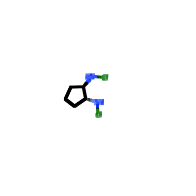 ClN[C@@H]1CCC[C@H]1NCl